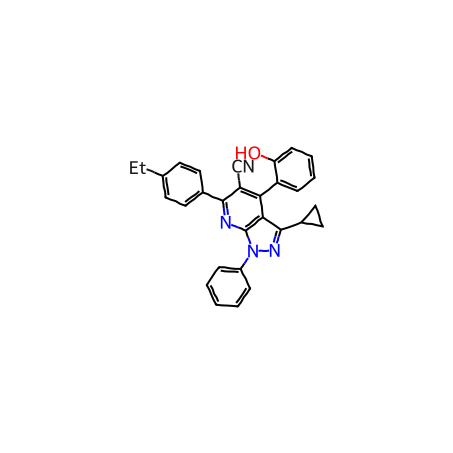 CCc1ccc(-c2nc3c(c(C4CC4)nn3-c3ccccc3)c(-c3ccccc3O)c2C#N)cc1